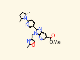 COC(=O)c1cnc2c(c1)nc(-c1ccc(N3[C@@H](C)CC[C@@H]3C)nc1)n2Cc1coc(C)n1